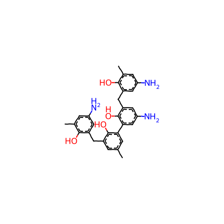 Cc1cc(Cc2cc(N)cc(C)c2O)c(O)c(-c2cc(N)cc(Cc3cc(N)cc(C)c3O)c2O)c1